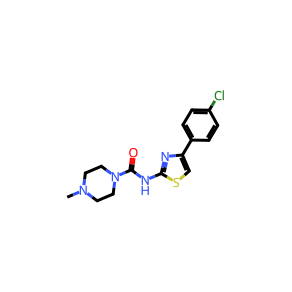 CN1CCN(C(=O)Nc2nc(-c3ccc(Cl)cc3)cs2)CC1